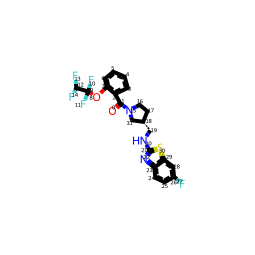 O=C(c1ccccc1OC(F)(F)C(F)F)N1CC[C@H](CNc2nc3ccc(F)cc3s2)C1